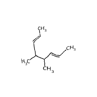 C/C=C/C(C)C(C)/C=C/C